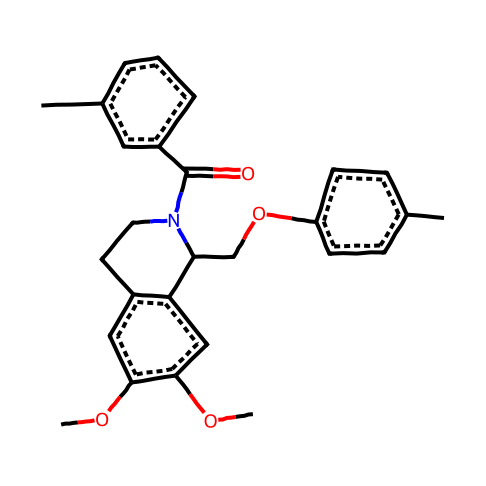 COc1cc2c(cc1OC)C(COc1ccc(C)cc1)N(C(=O)c1cccc(C)c1)CC2